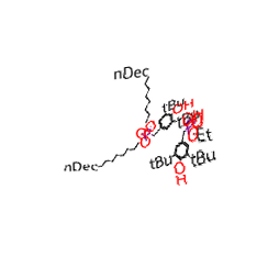 CCCCCCCCCCCCCCCCCCOP(=O)(Cc1cc(C(C)(C)C)c(O)c(C(C)(C)C)c1)OCCCCCCCCCCCCCCCCCC.CCOP(=O)(O)Cc1cc(C(C)(C)C)c(O)c(C(C)(C)C)c1